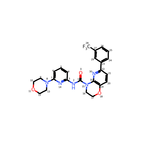 O=C(Nc1cccc(N2CCOCC2)n1)N1CCOc2ccc(-c3cccc(C(F)(F)F)c3)nc21